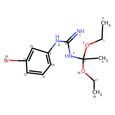 CCOC(C)(NC(=N)Nc1cccc(Br)c1)OCC